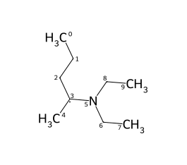 CCC[C](C)N(CC)CC